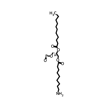 CCCCCCCCCCC(=O)O[C@@H](COP=O)COC(=O)CCCCCCCCN